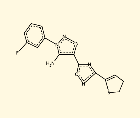 Nc1c(-c2nc(C3=CCCS3)no2)nnn1-c1cccc(F)c1